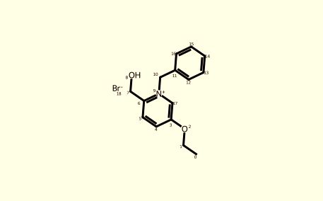 CCOc1ccc(CO)[n+](Cc2ccccc2)c1.[Br-]